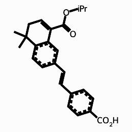 CC(C)OC(=O)C1=CCC(C)(C)c2ccc(/C=C/c3ccc(C(=O)O)cc3)cc21